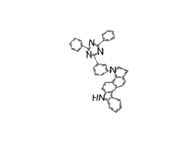 c1ccc(-c2nc(-c3ccccc3)nc(-c3cccc(-n4ccc5ccc6c(ccc7[nH]c8ccccc8c76)c54)c3)n2)cc1